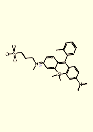 Cc1ccccc1C1=C2C=C/C(=[N+](/C)CCCS(=O)(=O)[O-])C=C2[Si](C)(C)c2cc(N(C)C)ccc21